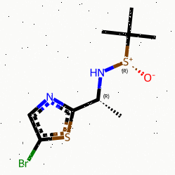 C[C@@H](N[S@@+]([O-])C(C)(C)C)c1ncc(Br)s1